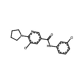 O=C(Nc1cccc(Cl)c1)c1cnc(N2CCCC2)c(Cl)c1